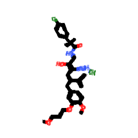 COCCCOc1cc(CC(CC(N)C(O)CNC(=O)C(C)(C)c2ccc(Cl)cc2)C(C)C)ccc1OC.Cl